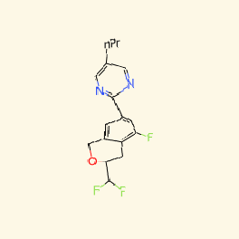 CCCc1cnc(-c2cc(F)c3c(c2)COC(C(F)F)C3)nc1